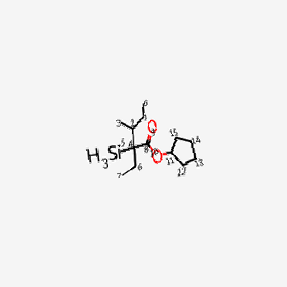 CCC(C)C([SiH3])(CC)C(=O)OC1CCCC1